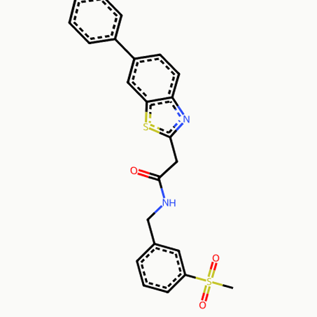 CS(=O)(=O)c1cccc(CNC(=O)Cc2nc3ccc(-c4ccccc4)cc3s2)c1